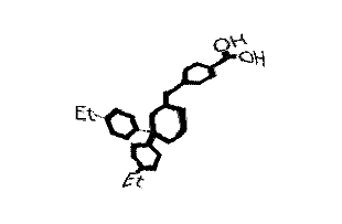 CCC1CCC(C2([C@H]3CC[C@@H](CC)CC3)CCCC(CC3CCC(C(O)O)CC3)C2)CC1